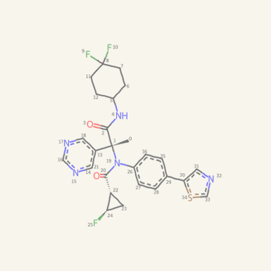 C[C@](C(=O)NC1CCC(F)(F)CC1)(c1cncnc1)N(C(=O)[C@@H]1C[C@H]1F)c1ccc(-c2cncs2)cc1